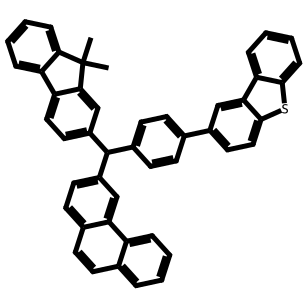 CC1(C)c2ccccc2-c2ccc(C(c3ccc(-c4ccc5sc6ccccc6c5c4)cc3)c3ccc4ccc5ccccc5c4c3)cc21